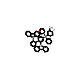 Cc1cccc([Si](c2ccccc2)(c2ccccc2)c2ccc(-c3ccccc3-n3c4ccccc4c4ccccc43)c(-n3c4ccccc4c4ccccc43)c2)c1